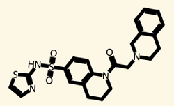 O=C(CN1CCc2ccccc2C1)N1CCCc2cc(S(=O)(=O)Nc3nccs3)ccc21